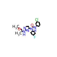 COC[C@H](C)Nc1nccc(N(C(=O)Nc2cccc(Cl)c2)c2ccc(F)cc2)n1